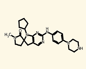 CN1CCC2(Cc3cnc(Nc4ccc(N5CCNCC5)cc4)nc3N2C2CCCC2)C1=O